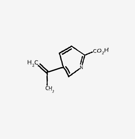 C=C(C)c1ccc(C(=O)O)nc1